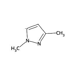 Cc1c[c]n(C)n1